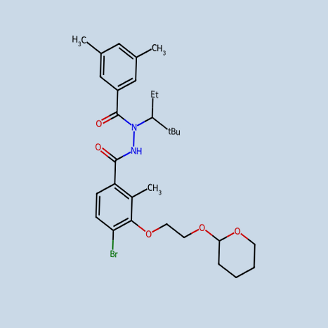 CCC(N(NC(=O)c1ccc(Br)c(OCCOC2CCCCO2)c1C)C(=O)c1cc(C)cc(C)c1)C(C)(C)C